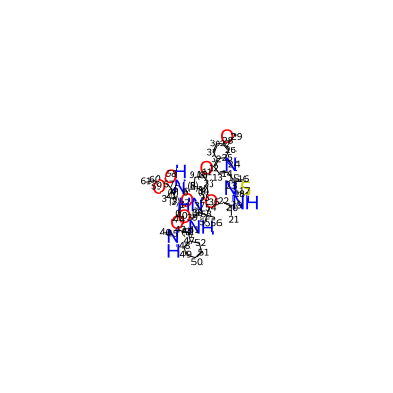 C=C[C@@H]1C[C@]1(NC(=O)[C@@H]1C[C@@H](Oc2cc(-c3csc(NC(C)C)n3)nc3cc(OC)ccc23)C[C@H]1C(=O)N[C@H](C(=O)N[C@H](C(=O)NC)C1CCCCC1)C(C)(C)C)C(=O)OCC